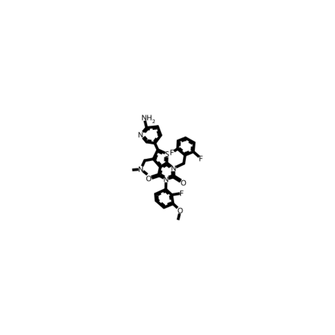 COc1cccc(-n2c(=O)c3c(CN(C)C)c(-c4ccc(N)nc4)sc3n(Cc3c(F)cccc3F)c2=O)c1F